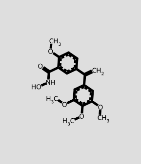 C=C(c1cc(OC)c(OC)c(OC)c1)c1ccc(OC)c(C(=O)NO)c1